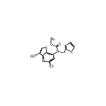 CC(C)(C)OC(=O)N(Cc1cccs1)c1cc(Cl)nc2c(O)csc12